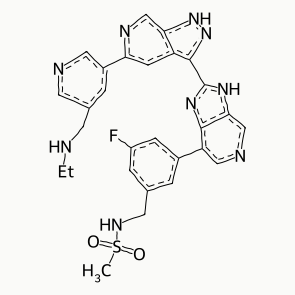 CCNCc1cncc(-c2cc3c(-c4nc5c(-c6cc(F)cc(CNS(C)(=O)=O)c6)cncc5[nH]4)n[nH]c3cn2)c1